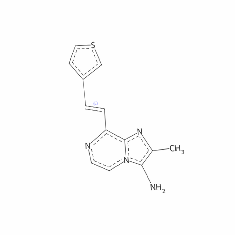 Cc1nc2c(/C=C/c3ccsc3)nccn2c1N